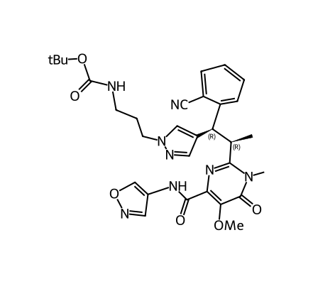 COc1c(C(=O)Nc2cnoc2)nc([C@H](C)[C@@H](c2cnn(CCCNC(=O)OC(C)(C)C)c2)c2ccccc2C#N)n(C)c1=O